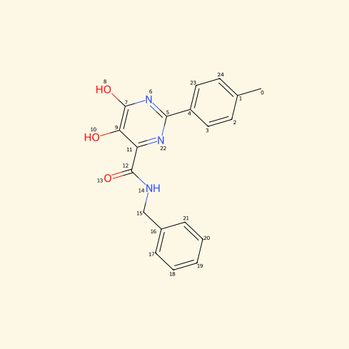 Cc1ccc(-c2nc(O)c(O)c(C(=O)NCc3ccccc3)n2)cc1